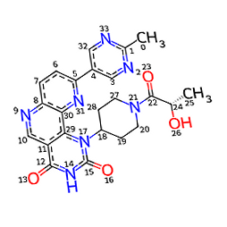 Cc1ncc(-c2ccc3ncc4c(=O)[nH]c(=O)n(C5CCN(C(=O)[C@H](C)O)CC5)c4c3n2)cn1